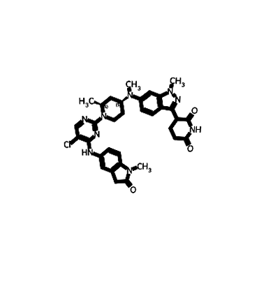 C[C@H]1C[C@@H](N(C)c2ccc3c(C4CCC(=O)NC4=O)nn(C)c3c2)CCN1c1ncc(Cl)c(Nc2ccc3c(c2)CC(=O)N3C)n1